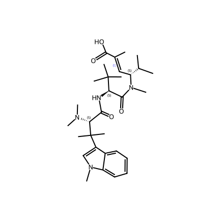 C/C(=C\[C@H](C(C)C)N(C)C(=O)[C@@H](NC(=O)[C@@H](N(C)C)C(C)(C)c1cn(C)c2ccccc12)C(C)(C)C)C(=O)O